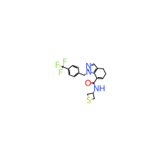 O=C(NC1CSC1)C1=CCCc2cnn(Cc3ccc(C(F)(F)F)cc3)c21